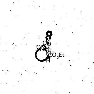 CCOC(=O)[C@@]12C[C@H]1/C=C\CCCCCCC(=O)N1C[C@H](OC(=O)N3Cc4ccccc4C3)C[C@H]1C(=O)N2